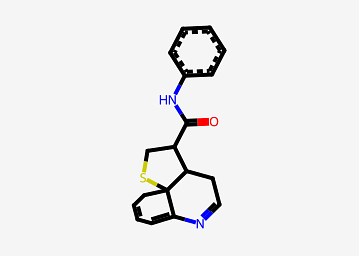 O=C(Nc1ccccc1)C1CSC23CC=CC=C2N=CCC13